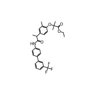 CCOC(=O)C(C)(C)Oc1ccc(C(C)C(=O)Nc2ccc(-c3cccc(C(F)(F)F)c3)cc2)cc1C